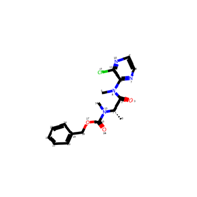 C[C@@H](C(=O)N(C)c1nccnc1Cl)N(C)C(=O)OCc1ccccc1